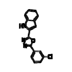 Clc1cccc(-c2nnc(-c3cc4ccccc4[nH]3)o2)c1